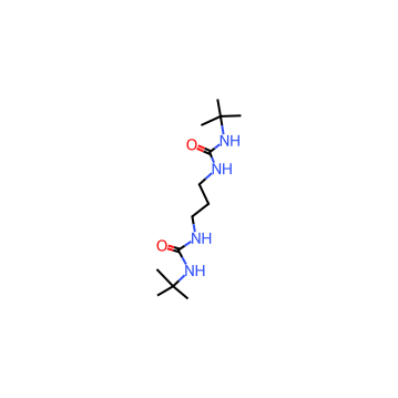 CC(C)(C)NC(=O)NCCCNC(=O)NC(C)(C)C